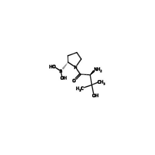 CC(C)(O)[C@H](N)C(=O)N1CCC[C@H]1B(O)O